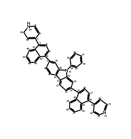 C1=CC(c2ccc(-c3ccc4c5ccc(-c6ccc(-c7ccncc7)c7ccccc67)cc5n(-c5ccccc5)c4c3)c3ccccc23)=CCN1